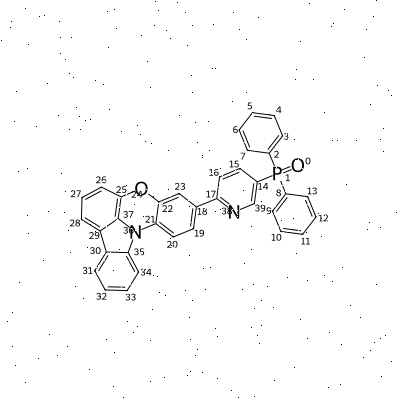 O=P(c1ccccc1)(c1ccccc1)c1ccc(-c2ccc3c(c2)Oc2cccc4c5ccccc5n-3c24)nc1